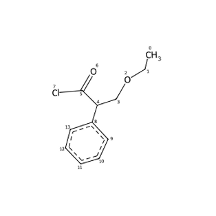 CCOCC(C(=O)Cl)c1ccccc1